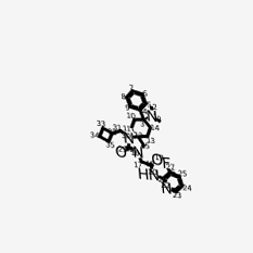 CN(C)[C@]1(c2ccccc2)CC[C@]2(CC1)CN(CC(=O)Nc1ncccc1F)C(=O)N2CC1CCC1